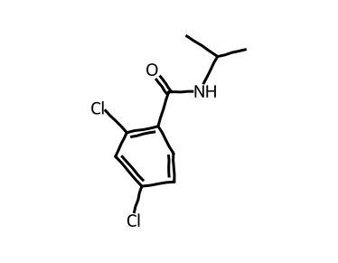 CC(C)NC(=O)c1ccc(Cl)cc1Cl